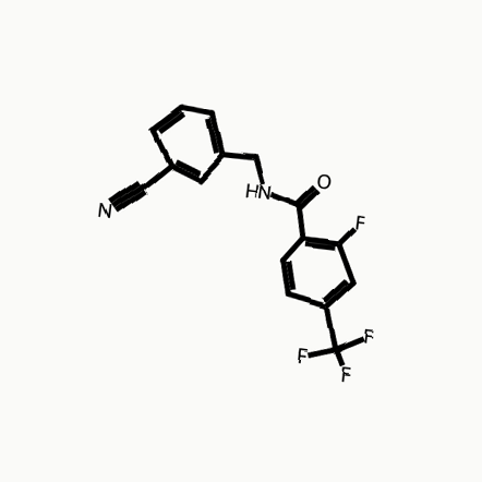 N#Cc1cccc(CNC(=O)c2ccc(C(F)(F)F)cc2F)c1